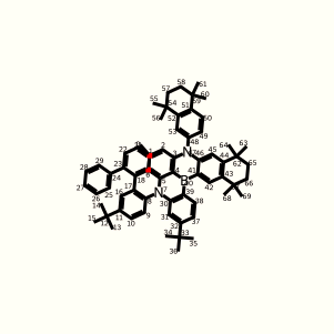 Cc1cc2c3c(c1)N(c1ccc(C(C)(C)C)cc1-c1ccccc1-c1ccccc1)c1cc(C(C)(C)C)ccc1B3c1cc3c(cc1N2c1ccc2c(c1)C(C)(C)CCC2(C)C)C(C)(C)CCC3(C)C